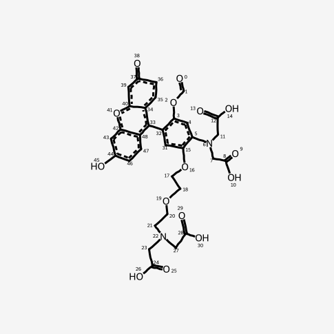 O=COc1cc(N(CC(=O)O)CC(=O)O)c(OCCOCCN(CC(=O)O)CC(=O)O)cc1-c1c2ccc(=O)cc-2oc2cc(O)ccc12